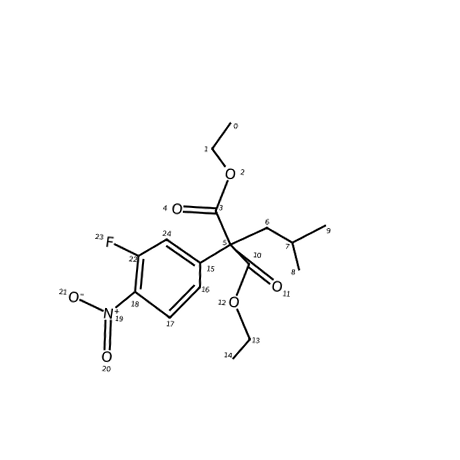 CCOC(=O)C(CC(C)C)(C(=O)OCC)c1ccc([N+](=O)[O-])c(F)c1